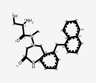 CN(C(=O)[C@H](N)CS)N1CC(=O)Nc2cccc(Cc3cccc4ccccc34)c2C1